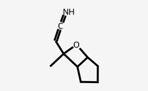 CC1(C=C=N)OC2CCCC21